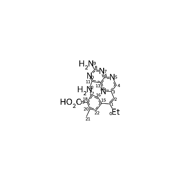 CCC(=Cc1cnc2nc(N)nc(N)c2n1)c1ccc(C(=O)O)c(C)c1